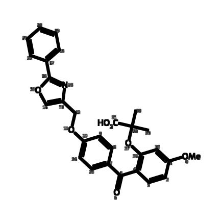 COc1ccc(C(=O)c2ccc(OCc3coc(-c4ccccc4)n3)cc2)c(OC(C)(C)C(=O)O)c1